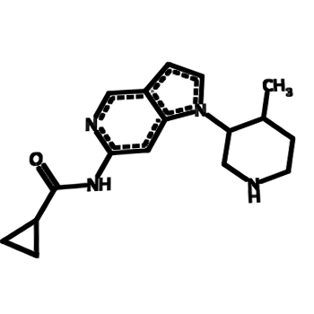 CC1CCNCC1n1ccc2cnc(NC(=O)C3CC3)cc21